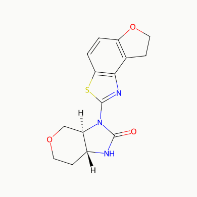 O=C1N[C@@H]2CCOC[C@H]2N1c1nc2c3c(ccc2s1)OCC3